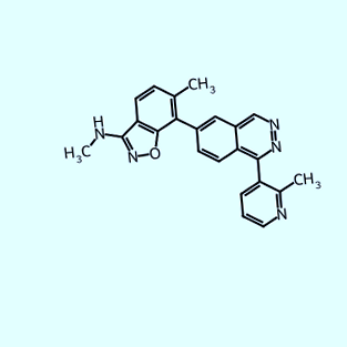 CNc1noc2c(-c3ccc4c(-c5cccnc5C)nncc4c3)c(C)ccc12